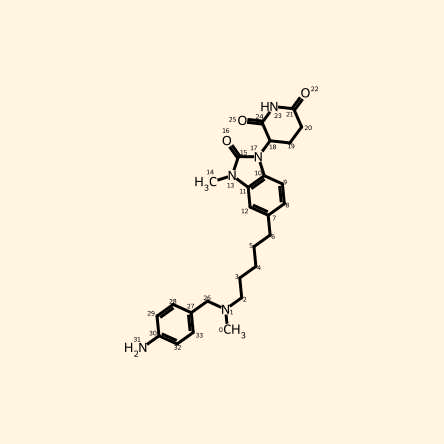 CN(CCCCCc1ccc2c(c1)n(C)c(=O)n2C1CCC(=O)NC1=O)Cc1ccc(N)cc1